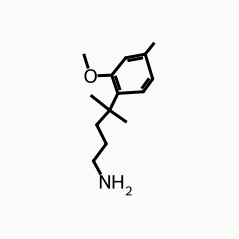 COc1cc(C)ccc1C(C)(C)CCCN